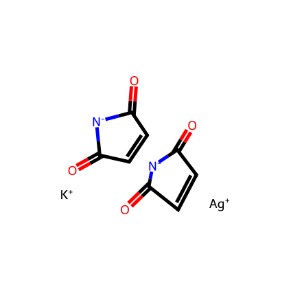 O=C1C=CC(=O)[N-]1.O=C1C=CC(=O)[N-]1.[Ag+].[K+]